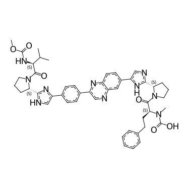 COC(=O)N[C@H](C(=O)N1CCC[C@H]1c1nc(-c2ccc(-c3cnc4cc(-c5cnc([C@@H]6CCCN6C(=O)[C@H](CCc6ccccc6)N(C)C(=O)O)[nH]5)ccc4n3)cc2)c[nH]1)C(C)C